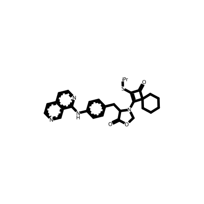 CC(C)SC1=C(N2COC(=O)C2Cc2ccc(Nc3nccc4ccncc34)cc2)C2(CCCCC2)C1=O